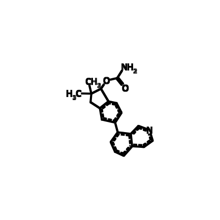 CC1(C)Cc2cc(-c3cccc4ccncc34)ccc2C1OC(N)=O